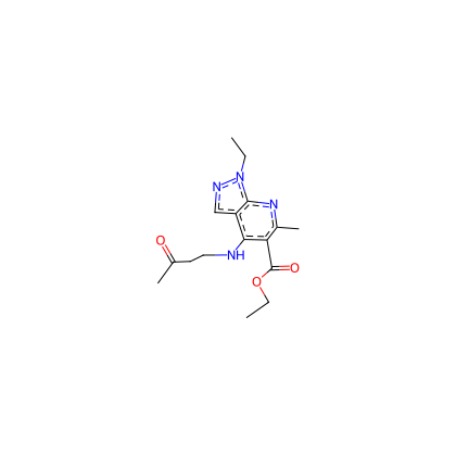 CCOC(=O)c1c(C)nc2c(cnn2CC)c1NCCC(C)=O